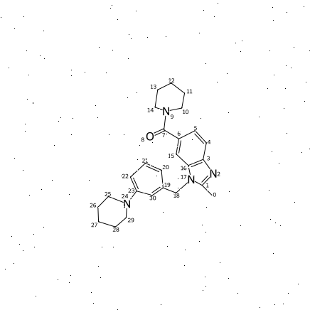 Cc1nc2ccc(C(=O)N3CCCCC3)cc2n1Cc1cccc(N2CCCCC2)c1